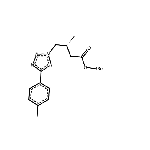 Cc1ccc(-c2nnn(C[C@H](C)CC(=O)OC(C)(C)C)n2)cc1